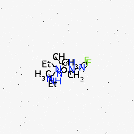 C=CCCC(C)c1cc(C(=C)NCCCN2CCC(F)(F)CC2)cc2nc(/C=C/C(C)=N\NCC)n(C/C=C/CC)c12